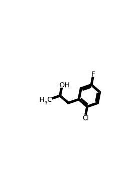 CC(O)Cc1cc(F)ccc1Cl